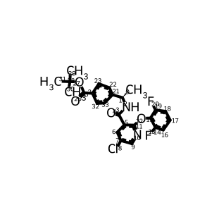 C[C@H](NC(=O)c1cc(Cl)cnc1Oc1c(F)cccc1F)c1ccc(C(=O)OC(C)(C)C)cc1